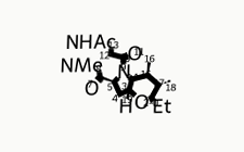 CCC1O[C@@H]2C[C@@H](C(=O)NC)N(C(=O)CNC(C)=O)C2[C@@H](C)[C@@H]1C